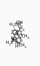 Cc1cc(CCC(C)(C)O)ccc1[C@H]1SC[C@@H](C)Nc2c1c(-c1ccccn1)nn2C